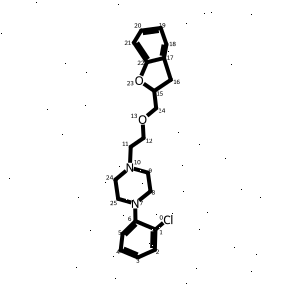 Clc1ccccc1N1CCN(CCOCC2Cc3ccccc3O2)CC1